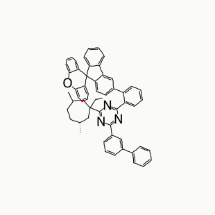 CCC1(c2nc(-c3cccc(-c4ccccc4)c3)nc(-c3ccccc3-c3ccc4c(c3)-c3ccccc3C43c4ccccc4Oc4ccccc43)n2)CC(C)CC[C@@H](C)C1